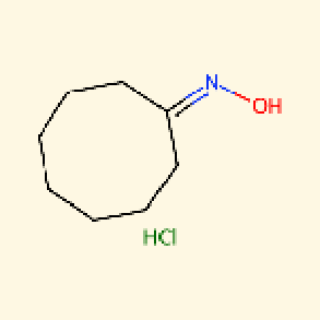 Cl.ON=C1CCCCCCC1